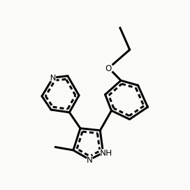 CCOc1cccc(-c2[nH]nc(C)c2-c2ccncc2)c1